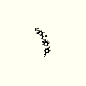 N#Cc1ccc(O[C@H]2C[C@@H]3CN(C[C@H](O)c4ccc(O)c(F)n4)C[C@@H]3C2)cc1